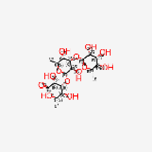 C[C@H](O)[C@H](O)[C@@H](O[C@@H]1O[C@@H](C)[C@H](O)[C@@H](O[C@@H]2O[C@@H](C)[C@H](O)[C@@H](O)[C@H]2O)[C@H]1O)[C@@H](O)C=O